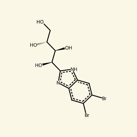 OC[C@@H](O)[C@@H](O)[C@H](O)c1nc2cc(Br)c(Br)cc2[nH]1